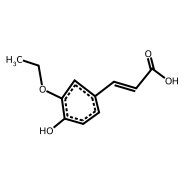 CCOc1cc(/C=C/C(=O)O)ccc1O